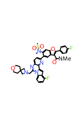 CNC(=O)c1c(-c2ccc(F)cc2)oc2cc(N(C)S(C)(=O)=O)c(-c3ccc4nc(CN5CC6(CCOCC6)C5)n5c6cccc(F)c6cc5c4n3)cc12